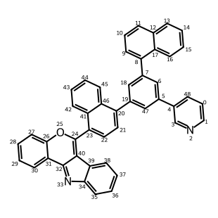 c1cncc(-c2cc(-c3cccc4ccccc34)cc(-c3ccc(-c4oc5ccccc5c5nc6ccccc6c4-5)c4ccccc34)c2)c1